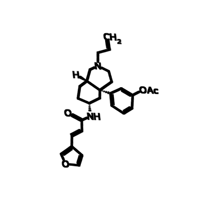 C=CCN1CC[C@@]2(c3cccc(OC(C)=O)c3)C[C@H](NC(=O)C=Cc3ccoc3)CC[C@@H]2C1